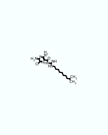 CC(C)CCCCCCCCNC(=N)NC(=O)c1nc(Cl)c(N)nc1N